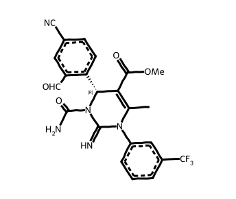 COC(=O)C1=C(C)N(c2cccc(C(F)(F)F)c2)C(=N)N(C(N)=O)[C@@H]1c1ccc(C#N)cc1C=O